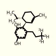 [2H]C([2H])([2H])CCc1cc(O)cc(O)c1[C@@H]1C=C(C)CC[C@H]1C(=C)C